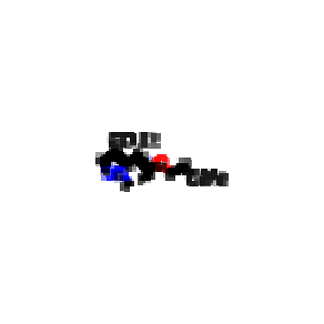 CCOC(=O)c1cnn(C)c1/C=C(\C)OCCOC